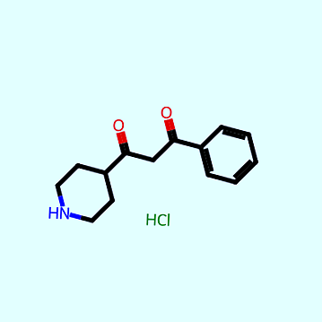 Cl.O=C(CC(=O)C1CCNCC1)c1ccccc1